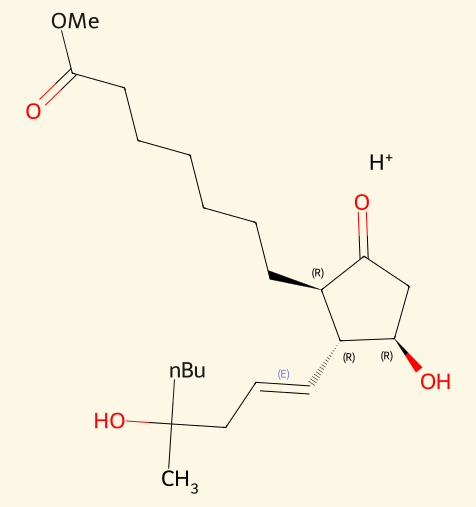 CCCCC(C)(O)C/C=C/[C@H]1[C@H](O)CC(=O)[C@@H]1CCCCCCC(=O)OC.[H+]